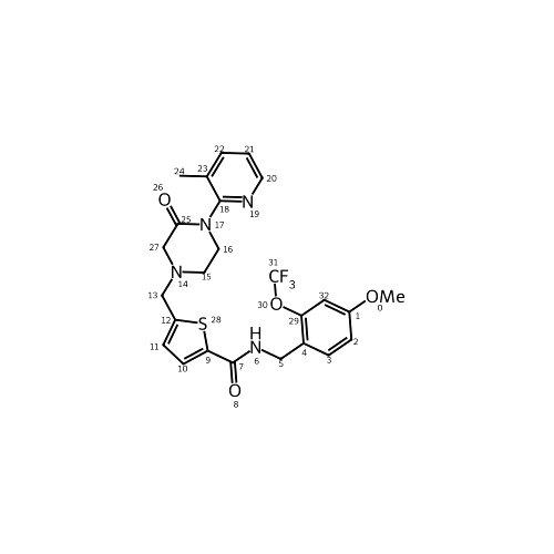 COc1ccc(CNC(=O)c2ccc(CN3CCN(c4ncccc4C)C(=O)C3)s2)c(OC(F)(F)F)c1